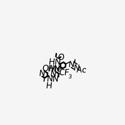 C=CC(=O)Nc1cc(CN2CCN(C(C)=O)CC2C)ccc1Nc1nc(Nc2cc(OC)ncc2C)ncc1C(F)(F)F